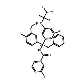 CC(C)Oc1cc([C@@](Cc2ccccc2)(NC(=O)c2cccc(F)c2)c2cc(F)cc(OC(F)(F)C(F)F)c2)ccc1F